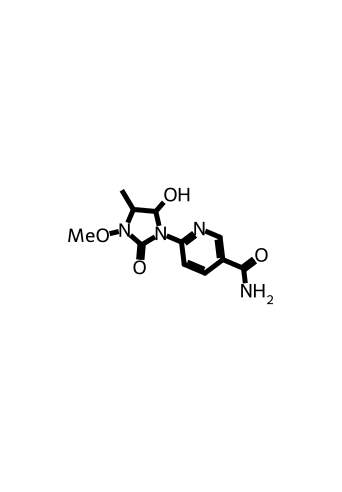 CON1C(=O)N(c2ccc(C(N)=O)cn2)C(O)C1C